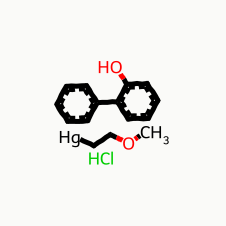 COC[CH2][Hg].Cl.Oc1ccccc1-c1ccccc1